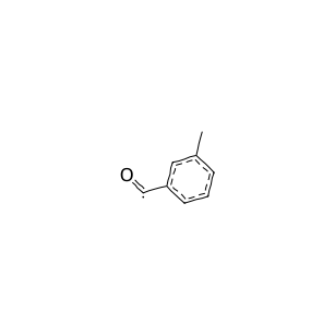 Cc1cccc([C]=O)c1